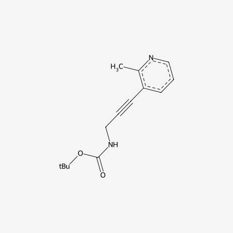 Cc1ncccc1C#CCNC(=O)OC(C)(C)C